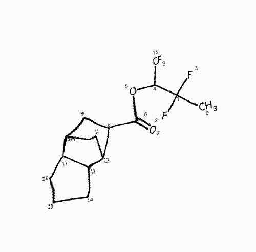 CC(F)(F)C(OC(=O)C1CC2CC1C1CCCC21)C(F)(F)F